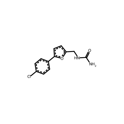 NC(=O)NCc1ccc(-c2ccc(Cl)cc2)o1